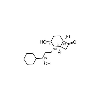 CC[C@@]12CC[C@H](O)[C@@H](CC[C@H](O)C3CCCCC3)[C@@H]1CC2=O